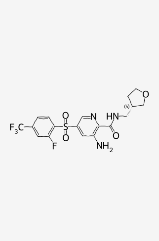 Nc1cc(S(=O)(=O)c2ccc(C(F)(F)F)cc2F)cnc1C(=O)NC[C@@H]1CCOC1